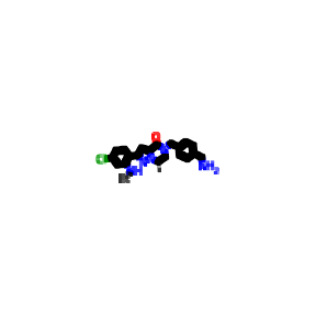 CCNc1cc(Cl)ccc1-c1cc2n(n1)[C@@H](C)CN(Cc1ccc(CN)cc1)C2=O